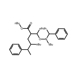 CCCCOC(=O)C(CC(CCCC)C(C)c1ccccc1)C(CCC)ON(C(c1ccccc1)C(C)C)C(C)(C)C